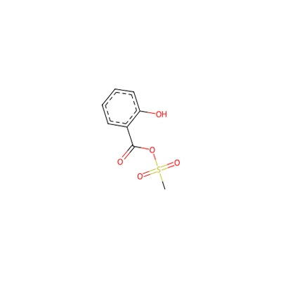 CS(=O)(=O)OC(=O)c1ccccc1O